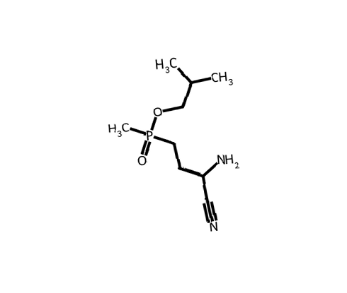 CC(C)COP(C)(=O)CCC(N)C#N